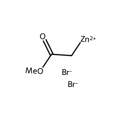 COC(=O)[CH2][Zn+2].[Br-].[Br-]